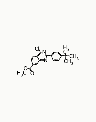 COC(=O)c1ccc2c(Cl)nc(-c3ccc(C(C)(C)C)cc3)nc2c1